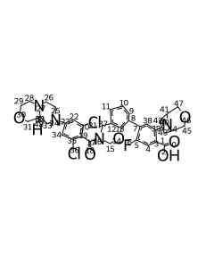 O=C(O)c1cc(F)c(-c2cccc3c2OCN(C(=O)c2c(Cl)cc(N4CCN5CCOC[C@H]5C4)cc2Cl)C3)cc1N1C2CCC1COC2